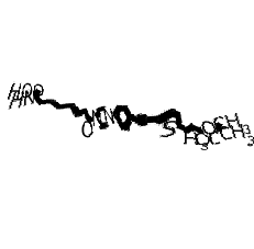 CC(C)(C)OC(=O)/C=C/c1ccc(C#Cc2ccc(N3CCN(C(=O)CCCCCCC(=O)NO)CC3)cc2)s1